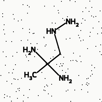 CC(N)(N)CNN